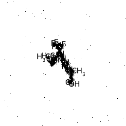 COCC1(CN(C)c2cc(-c3cc(F)cc(C(F)(F)F)c3)nc3nc(-c4cnc(N5CCN(CCCC(=O)O)[C@@H](C)C5)cn4)[nH]c23)CCC1